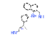 C/C(=C\C=N)c1cccc(Nc2c(C=N)ccc3ccccc23)c1